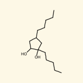 CCCCCC1CC(O)C(O)(CCCCC)C1